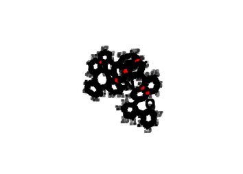 c1ccc(-c2ccccc2N(c2ccc3c(c2)-c2ccccc2-c2ccccc2O3)c2ccc3c(c2)C2(c4ccccc4-c4ccccc4-3)c3ccccc3-c3c2ccc2ccccc32)cc1